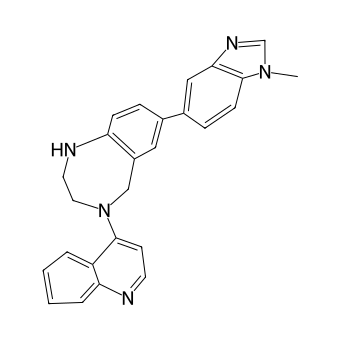 Cn1cnc2cc(-c3ccc4c(c3)CN(c3ccnc5ccccc35)CCN4)ccc21